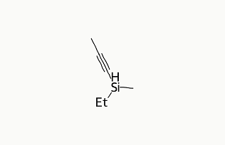 CC#C[SiH](C)CC